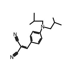 CC(C)CN(CC(C)C)c1ccc(C=C(C#N)C#N)cc1